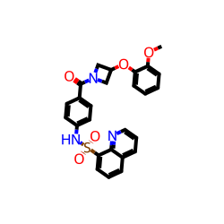 COc1ccccc1OC1CN(C(=O)c2ccc(NS(=O)(=O)c3cccc4cccnc34)cc2)C1